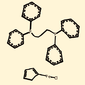 [Cl][Fe][C]1=CC=CC1.c1ccc(P(CCP(c2ccccc2)c2ccccc2)c2ccccc2)cc1